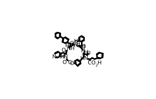 O=C1COc2ccc(cc2)C[C@H](C(=O)N[C@H](CCc2ccccc2)C(=O)O)NC(=O)[C@H](Cc2ccccc2F)NC(=O)[C@@H](Cc2ccc(-c3ccccc3)cc2)NC(=O)[C@H](Cc2ccncc2)N1